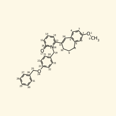 COc1ccc2c(c1)CCCC(c1cccc(=O)n1Cc1ccc(OCc3ccccc3)cc1)=C2